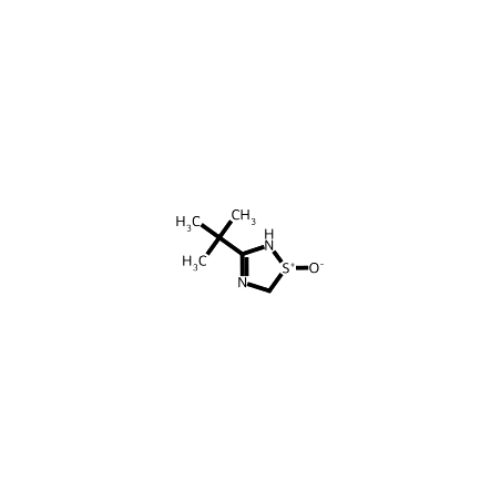 CC(C)(C)C1=NC[S+]([O-])N1